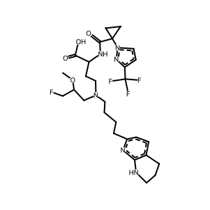 COC(CF)CN(CCCCc1ccc2c(n1)NCCC2)CCC(NC(=O)C1(n2ccc(C(F)(F)F)n2)CC1)C(=O)O